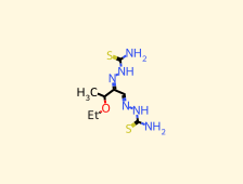 CCOC(C)C(/C=N/NC(N)=S)=N/NC(N)=S